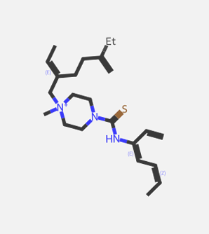 C=C/C(=C\C=C/C)NC(=S)N1CC[N+](C)(C/C(=C/C)CCC(=C)CC)CC1